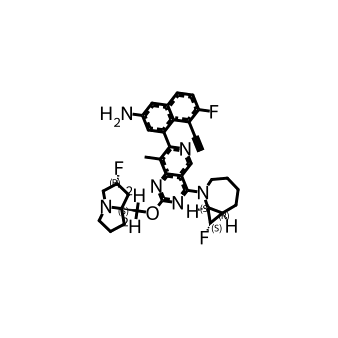 [2H]C([2H])(Oc1nc(N2CCCC[C@H]3[C@H](F)[C@H]32)c2cnc(-c3cc(N)cc4ccc(F)c(C#C)c34)c(C)c2n1)[C@@]12CCCN1C[C@H](F)C2